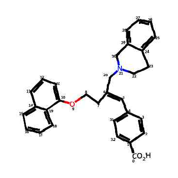 O=C(O)c1ccc(C=C(CCOc2cccc3ccccc23)CN2CCc3ccccc3C2)cc1